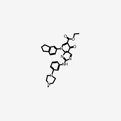 CCOC(=O)c1cn(-c2ccc3c(c2)CCC3)c2nc(Nc3cccc(N4CCN(C)CC4)c3)ncc2c1=O